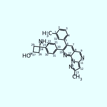 Cc1cccc(-c2cc3cnc4cc(C)nn4c3nc2-c2ccc([C@]3(N)C[C@H](O)C3)cc2)c1